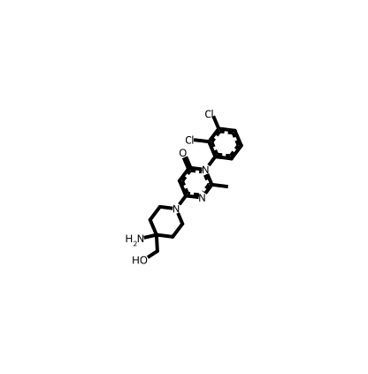 Cc1nc(N2CCC(N)(CO)CC2)cc(=O)n1-c1cccc(Cl)c1Cl